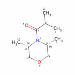 CC(C)C(=O)N1[C@H](C)COC[C@@H]1C